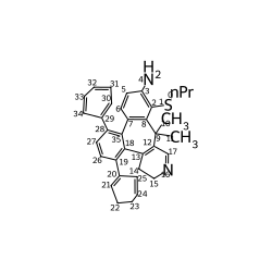 CCCSc1c(N)ccc2c1C(C)(C)C1=C(CCN=C1)c1c(C3=CCCC=C3)ccc(-c3ccccc3)c1-2